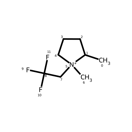 CC1CCC[N+]1(C)CC(F)(F)F